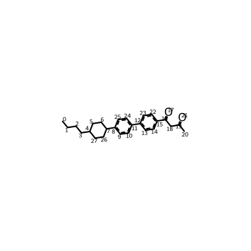 CCCCC1CCC(c2ccc(-c3ccc(C(=O)CC(C)=O)cc3)cc2)CC1